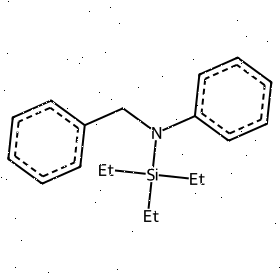 CC[Si](CC)(CC)N(Cc1ccccc1)c1ccccc1